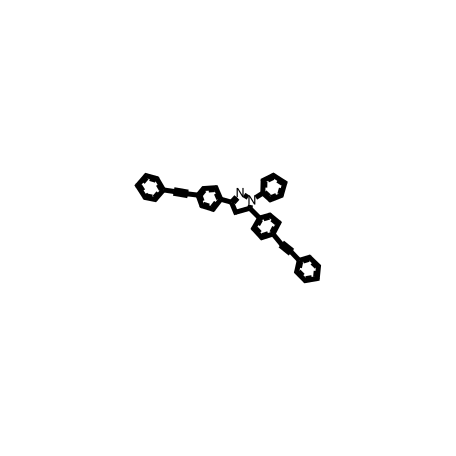 C(#Cc1ccc(C2=NN(c3ccccc3)C(c3ccc(C#Cc4ccccc4)cc3)C2)cc1)c1ccccc1